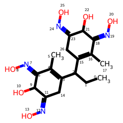 CCC(C1=C(C)C(=NO)C(O)C(=NO)C1)C1=C(C)C(=NO)C(O)C(=NO)C1